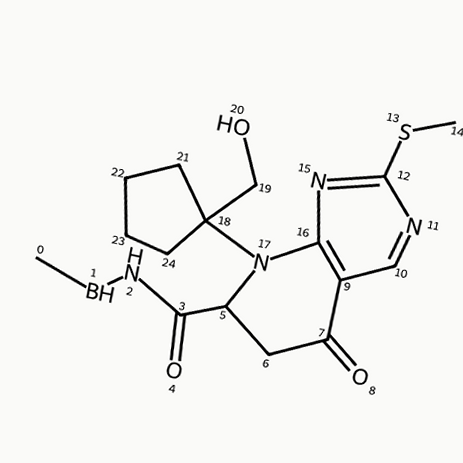 CBNC(=O)C1CC(=O)c2cnc(SC)nc2N1C1(CO)CCCC1